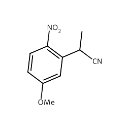 COc1ccc([N+](=O)[O-])c(C(C)C#N)c1